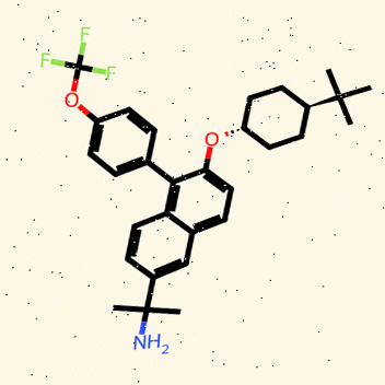 CC(C)(N)c1ccc2c(-c3ccc(OC(F)(F)F)cc3)c(O[C@H]3CC[C@H](C(C)(C)C)CC3)ccc2c1